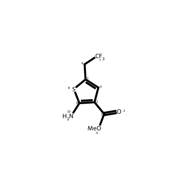 COC(=O)c1cc(CC(F)(F)F)sc1N